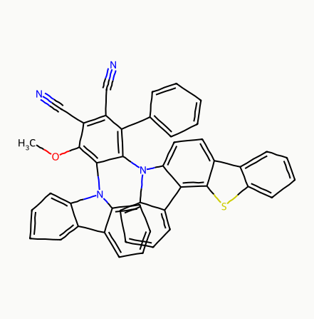 COc1c(C#N)c(C#N)c(-c2ccccc2)c(-n2c3ccccc3c3c4sc5ccccc5c4ccc32)c1-n1c2ccccc2c2ccccc21